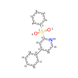 O=S(=O)(c1ccccc1)c1cc(-c2ccccc2)ccn1